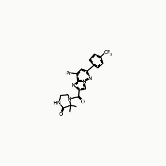 CC(C)c1cc(-c2ccc(C(F)(F)F)cc2)nn2cc(C(=O)N3CCNC(=O)C3(C)C)nc12